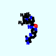 BC1(B)CCC(B)(B)N1c1cc(C(=O)Nc2cc3nc(-c4cncn4C)ccc3cn2)ccn1